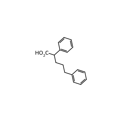 O=C(O)C(CCCc1ccccc1)c1ccccc1